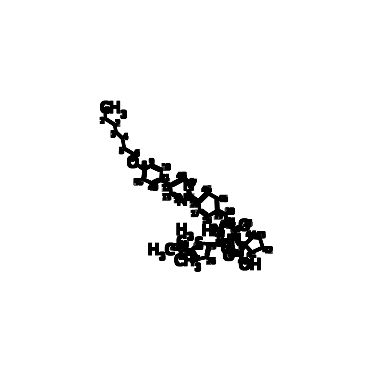 CCCCCCCOc1ccc(-c2cnc(-c3ccc(C[C@H](NC(=O)c4ccc(C(C)(C)C)s4)C(=O)NC4(C(=O)O)CCCC4)cc3)nc2)cc1